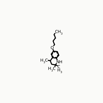 CCCCCOc1ccc2c(c1)C(C)CC(C)(C)N2